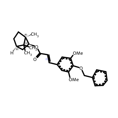 COc1cc(/C=C/C(=O)O[C@H]2C[C@H]3CC[C@]2(C)C3(C)C)cc(OC)c1OCc1ccccc1